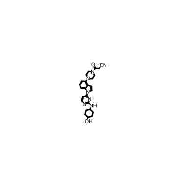 N#CCC(=O)N1CCN(c2cccc3c2ccn3-c2ccnc(NC3CCC(O)CC3)n2)CC1